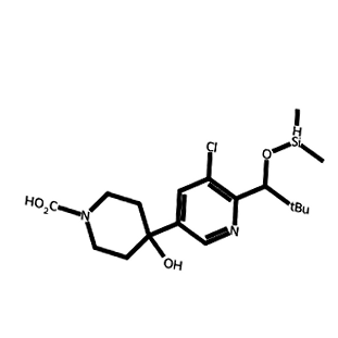 C[SiH](C)OC(c1ncc(C2(O)CCN(C(=O)O)CC2)cc1Cl)C(C)(C)C